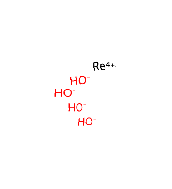 [OH-].[OH-].[OH-].[OH-].[Re+4]